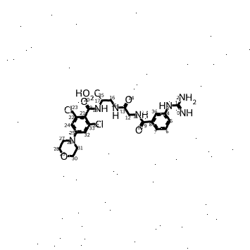 N=C(N)Nc1cccc(C(=O)NCC(=O)NC[C@H](NC(=O)c2c(Cl)cc(N3CCOCC3)cc2Cl)C(=O)O)c1